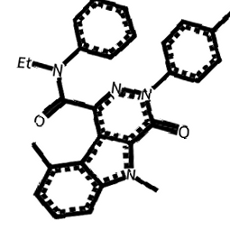 CCN(C(=O)c1nn(-c2ccc(C)cc2)c(=O)c2c1c1c(C)cccc1n2C)c1ccccc1